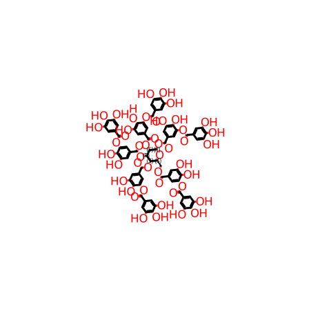 O=C(OC[C@@H]1O[C@H](OC(=O)c2cc(O)c(O)c(OC(=O)c3cc(O)c(O)c(O)c3)c2)[C@@H](OC(=O)c2cc(O)c(O)c(OC(=O)c3cc(O)c(O)c(O)c3)c2)[C@H](OC(=O)c2cc(O)c(O)c(OC(=O)c3cc(O)c(O)c(O)c3)c2)[C@H]1OC(=O)c1cc(O)c(O)c(OC(=O)c2cc(O)c(O)c(O)c2)c1)c1cc(O)c(O)c(OC(=O)c2cc(O)c(O)c(O)c2)c1